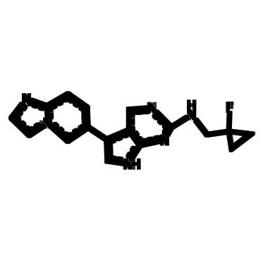 FC1(CNc2ncc3c(-c4ccc5nccn5c4)c[nH]c3n2)CC1